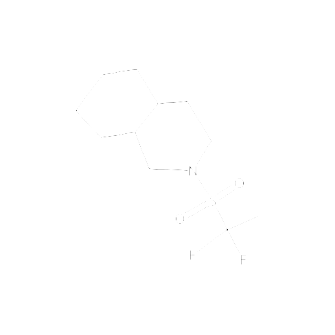 CC(F)(F)S(=O)(=O)N1CCC2CCCCC2C1